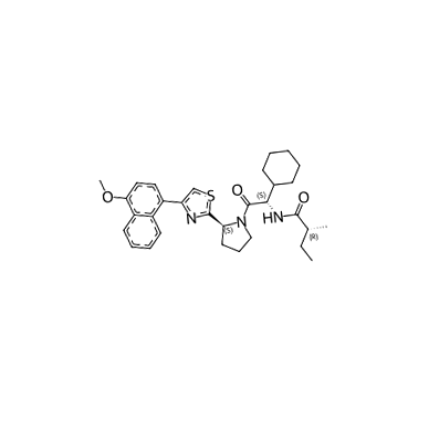 CC[C@@H](C)C(=O)N[C@H](C(=O)N1CCC[C@H]1c1nc(-c2ccc(OC)c3ccccc23)cs1)C1CCCCC1